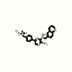 CCOP(C)(=O)Cc1ccc(-c2cnc(N)c(N(N)Cc3ccc4ncccc4c3)n2)cc1